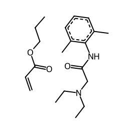 C=CC(=O)OCCC.CCN(CC)CC(=O)Nc1c(C)cccc1C